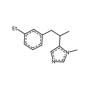 CCc1cccc(CC(C)c2cncn2C)c1